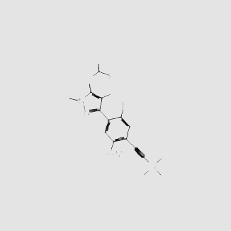 COc1cc(-c2nn(C)c(OC(F)F)c2Cl)c(F)cc1C#C[Si](C)(C)C